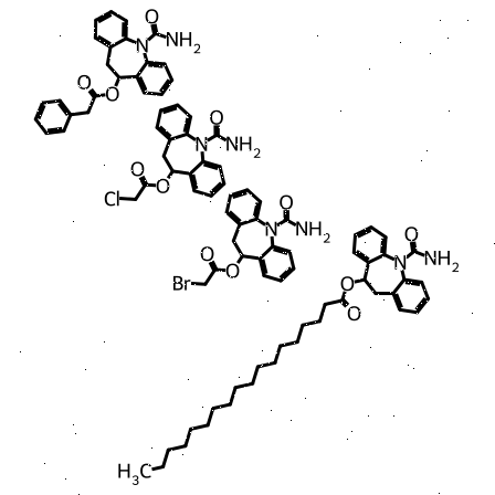 CCCCCCCCCCCCCCCCCC(=O)OC1Cc2ccccc2N(C(N)=O)c2ccccc21.NC(=O)N1c2ccccc2CC(OC(=O)CBr)c2ccccc21.NC(=O)N1c2ccccc2CC(OC(=O)CCl)c2ccccc21.NC(=O)N1c2ccccc2CC(OC(=O)Cc2ccccc2)c2ccccc21